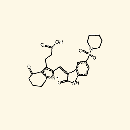 O=C(O)CCc1c(C=C2C(=O)Nc3ccc(S(=O)(=O)N4CCCCC4)cc32)[nH]c2c1C(=O)CCC2